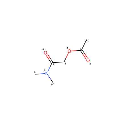 [CH2]C(=O)OCC(=O)N(C)C